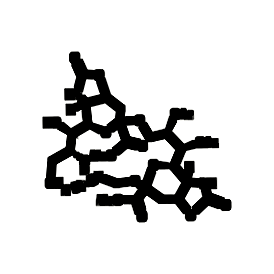 COC(=O)C1(OC[C@@H](OC(C)=O)[C@@H](OC(C)=O)[C@@H]2OC(OCN=[N+]=[N-])(C(=O)OC)CC3OC(=O)N[C@H]32)CC2OC(=O)N[C@H]2[C@H]([C@H](O)[C@H](O)CO)O1